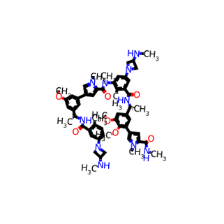 CNC(=O)c1cc(-c2cc([C@@H](C)NC(=O)c3cc(N4CC(NC)C4)cc(N(C)C(=O)c4cc(-c5cc(OC)cc([C@@H](C)NC(=O)c6cc(N7CC(NC)C7)ccc6C)c5)cn4C)c3C)cc(OC)c2OC)cn1C